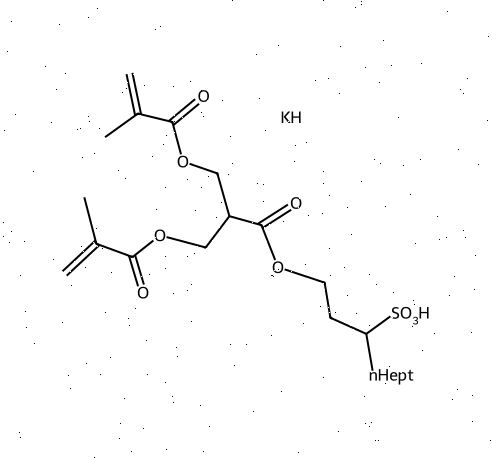 C=C(C)C(=O)OCC(COC(=O)C(=C)C)C(=O)OCCC(CCCCCCC)S(=O)(=O)O.[KH]